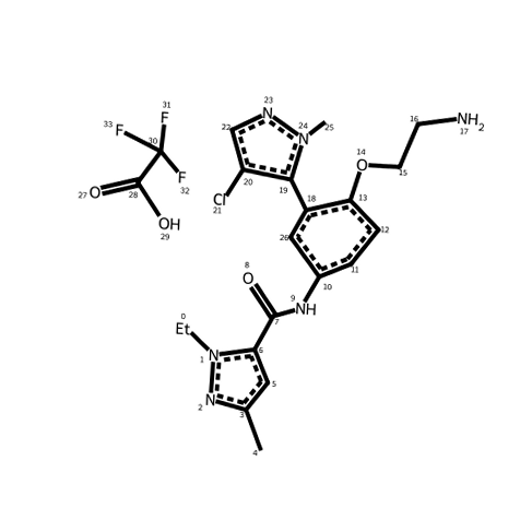 CCn1nc(C)cc1C(=O)Nc1ccc(OCCN)c(-c2c(Cl)cnn2C)c1.O=C(O)C(F)(F)F